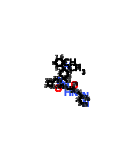 CN(C)C1(c2ccccc2)CCC2(CC1)CN(CC(=O)NCc1ccncn1)C(=O)N2CC1CCC1